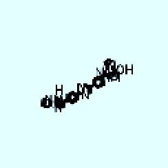 O=C(O)N1CCC[C@H]1c1nc2cc(-c3cnc(-c4ccc(-c5cnc([C@@H]6CCCN6)[nH]5)cc4)nc3)ccc2[nH]1